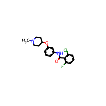 CN1CCC(Oc2cccc(NC(=O)c3c(F)cccc3Cl)c2)CC1